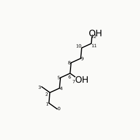 CCC(C)CCC(O)CCCCO